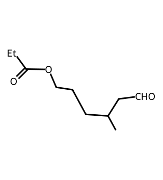 CCC(=O)OCCCC(C)CC=O